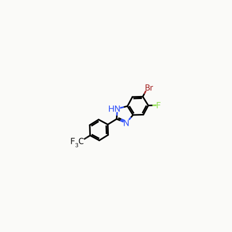 Fc1cc2nc(-c3ccc(C(F)(F)F)cc3)[nH]c2cc1Br